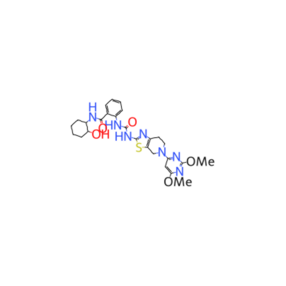 COc1cc(N2CCc3nc(NC(=O)Nc4ccccc4C(=O)NC4CCCCC4O)sc3C2)nc(OC)n1